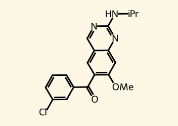 COc1cc2nc(NC(C)C)ncc2cc1C(=O)c1cccc(Cl)c1